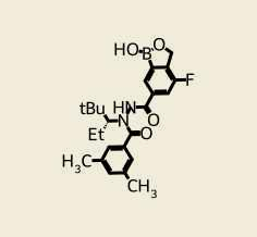 CC[C@@H](N(NC(=O)c1cc(F)c2c(c1)B(O)OC2)C(=O)c1cc(C)cc(C)c1)C(C)(C)C